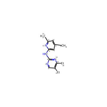 CCc1cnc(Nc2cc(C)cc(C)n2)nc1CC